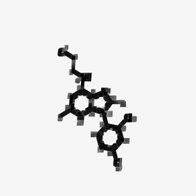 Cc1cc(NCCCl)c2nc(C)n(-c3ccc(Cl)cc3Cl)c2n1